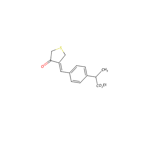 CCOC(=O)C(C)c1ccc(/C=C2\CSCC2=O)cc1